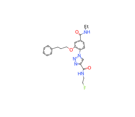 CCNC(=O)c1ccc(-n2cc(C(=O)NCCF)nn2)c(OCCCc2ccccc2)c1